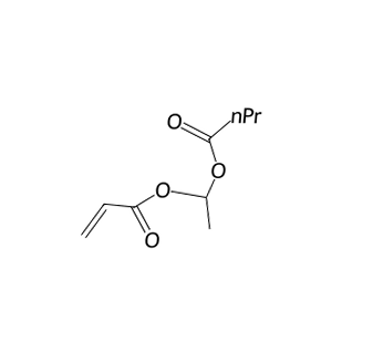 C=CC(=O)OC(C)OC(=O)CCC